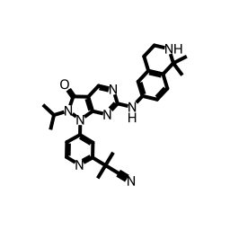 CC(C)n1c(=O)c2cnc(Nc3ccc4c(c3)CCNC4(C)C)nc2n1-c1ccnc(C(C)(C)C#N)c1